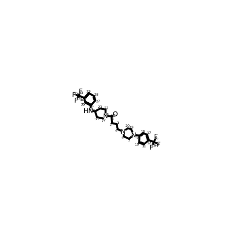 O=C(CCCN1CCN(c2ccc(C(F)(F)F)cc2)CC1)N1CCC(Nc2cccc(C(F)(F)F)c2)CC1